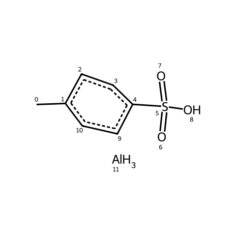 Cc1ccc(S(=O)(=O)O)cc1.[AlH3]